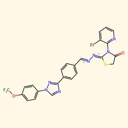 CCc1cccnc1N1C(=O)CS/C1=N\N=C\c1ccc(-c2ncn(-c3ccc(OC(F)(F)F)cc3)n2)cc1